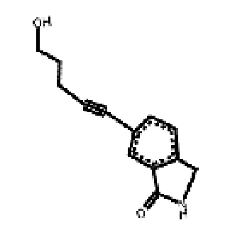 O=C1NCc2ccc(C#CCCCO)cc21